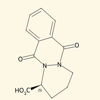 O=C(O)[C@@H]1CCCn2c(=O)c3ccccc3c(=O)n21